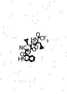 CN(C(=O)[C@H](CC1CC1)NC(=O)C(F)(F)F)[C@@H](CC1CC1)C(=O)N1C[C@@]2(C[C@@H]1C#N)C(=O)NCc1ccccc12